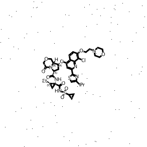 CC[C@@H]1C[C@]1(NC(=O)[C@@H]1C[C@@H](Oc2cc(-c3nc(C(C)C)cs3)nc3c(Cl)c(OCCN4CCOCC4)ccc23)[C@H]2COCC(=O)N21)C(=O)NS(=O)(=O)C1CC1